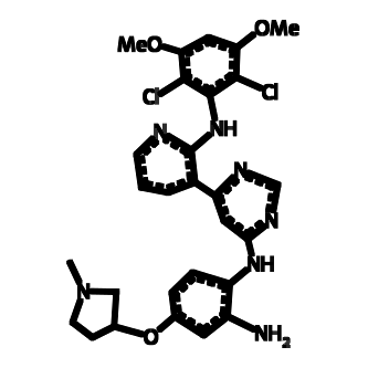 COc1cc(OC)c(Cl)c(Nc2ncccc2-c2cc(Nc3ccc(OC4CCN(C)C4)cc3N)ncn2)c1Cl